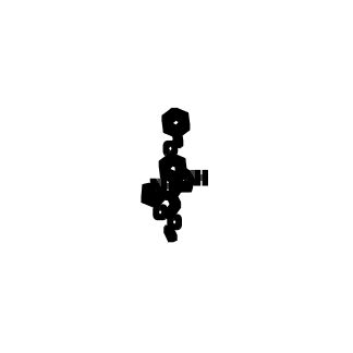 CCOC(=O)CC(c1ccc[nH]1)c1c[nH]c2cc(OCc3ccccc3)ccc12